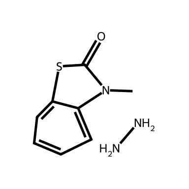 Cn1c(=O)sc2ccccc21.NN